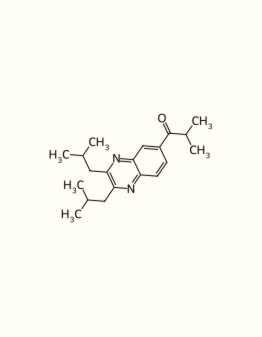 CC(C)Cc1nc2ccc(C(=O)C(C)C)cc2nc1CC(C)C